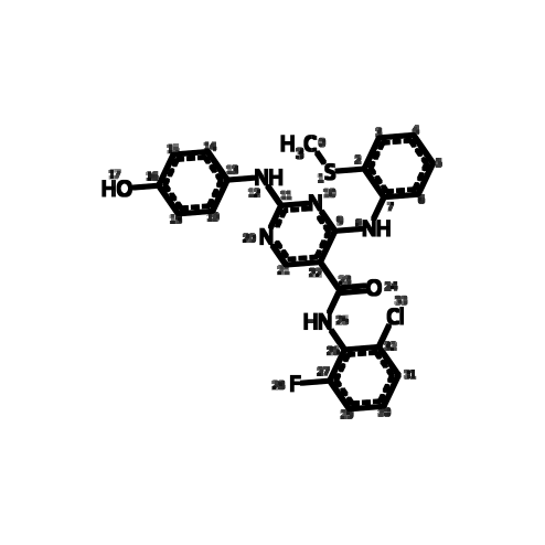 CSc1ccccc1Nc1nc(Nc2ccc(O)cc2)ncc1C(=O)Nc1c(F)cccc1Cl